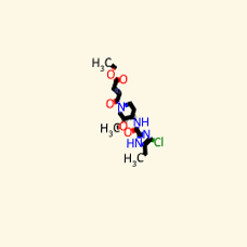 CCOC(=O)/C=C/C(=O)N1CC[C@@H](NC(=O)c2nc(Cl)c(CC)[nH]2)[C@@H](OC)C1